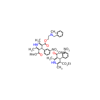 CCOC(=O)C1=C(C)NC(C)=C(C(=O)OC)C1c1cccc([N+](=O)[O-])c1.COC(=O)C1=C(C)NC(C)=C(C(=O)OCCN(C)Cc2ccccc2)C1c1cccc([N+](=O)[O-])c1